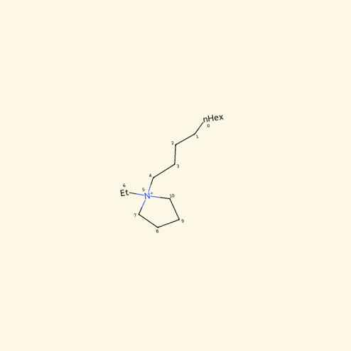 CCCCCCCCCC[N+]1(CC)CCCC1